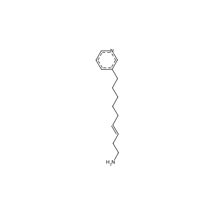 NCCC=CCCCCCc1cccnc1